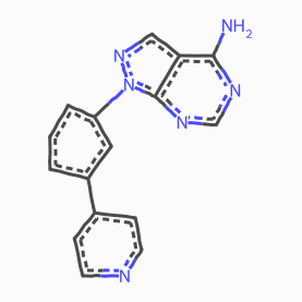 Nc1ncnc2c1cnn2-c1cccc(-c2ccncc2)c1